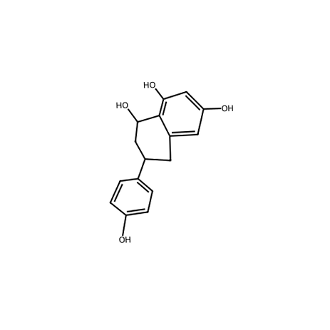 Oc1ccc(C2Cc3cc(O)cc(O)c3C(O)C2)cc1